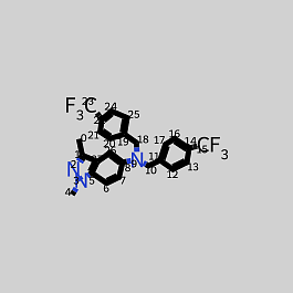 Cc1nn(C)c2ccc(N(Cc3ccc(C(F)(F)F)cc3)Cc3ccc(C(F)(F)F)cc3)cc12